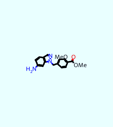 COC(=O)c1ccc(Cn2ncc3ccc(N)cc32)c(OC)c1